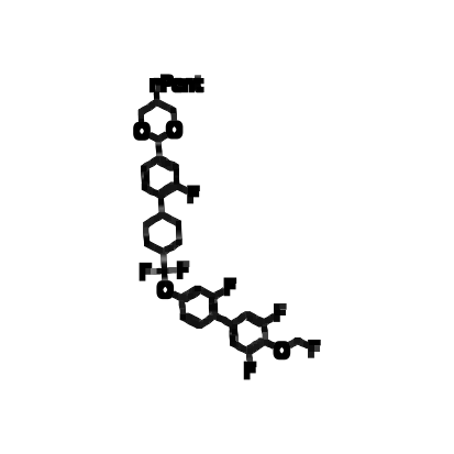 CCCCCC1COC(c2ccc(C3CCC(C(F)(F)Oc4ccc(-c5cc(F)c(OCF)c(F)c5)c(F)c4)CC3)c(F)c2)OC1